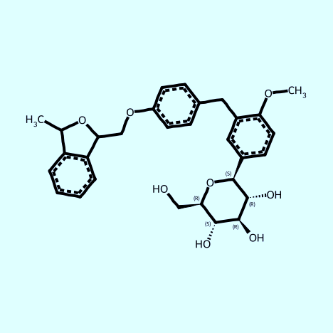 COc1ccc([C@@H]2O[C@H](CO)[C@@H](O)[C@H](O)[C@H]2O)cc1Cc1ccc(OCC2OC(C)c3ccccc32)cc1